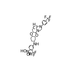 CCC(OC1CCC(Nc2ccc(N(O)O)c(C(F)(F)F)c2)CC1)C(=O)N1CCN(c2ccc(C(F)(F)F)cc2)CC1